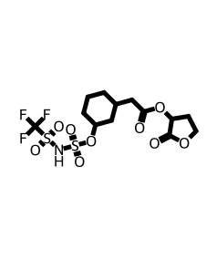 O=C(CC1CCCC(OS(=O)(=O)NS(=O)(=O)C(F)(F)F)C1)OC1CCOC1=O